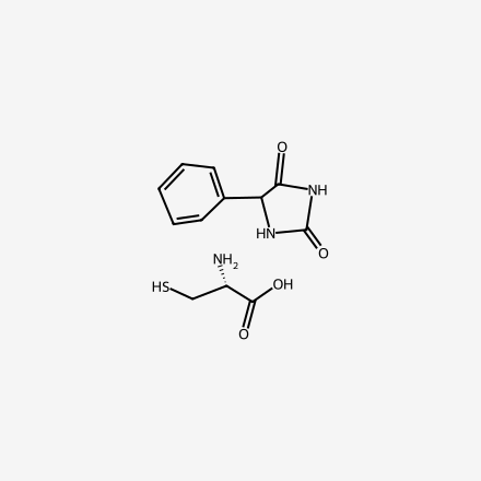 N[C@@H](CS)C(=O)O.O=C1NC(=O)C(c2ccccc2)N1